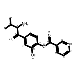 CC(C)C(N)C(=O)c1ccc(OC(=O)c2cccnc2)c(O)c1